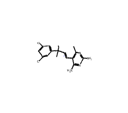 Cc1nc(N)nc(N)c1/C=C/C(C)(C)c1cc(Cl)cc(Cl)c1